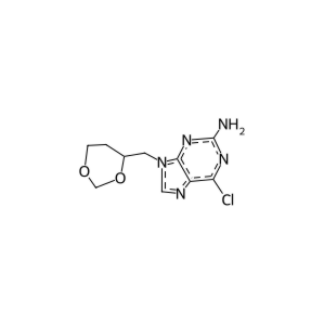 Nc1nc(Cl)c2ncn(CC3CCOCO3)c2n1